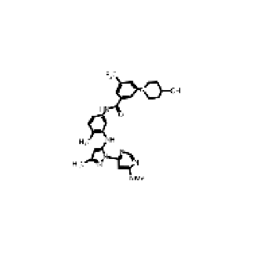 CNc1cc(-n2nc(C)cc2Nc2cc(NC(=O)c3cc(N4CCC(O)CC4)cc(C(F)(F)F)c3)ccc2C)ncn1